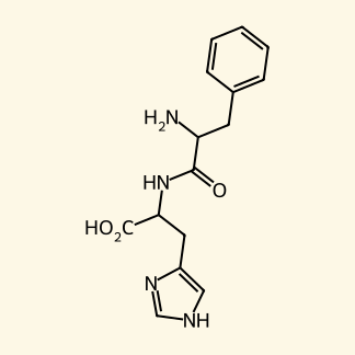 NC(Cc1ccccc1)C(=O)NC(Cc1c[nH]cn1)C(=O)O